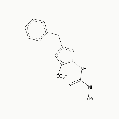 CCCNC(=S)Nc1nn(Cc2ccccc2)cc1C(=O)O